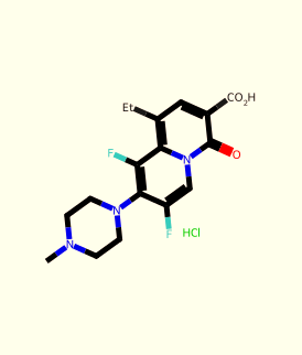 CCc1cc(C(=O)O)c(=O)n2cc(F)c(N3CCN(C)CC3)c(F)c12.Cl